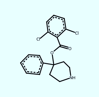 O=C(OC1(c2ccccc2)CCNCC1)c1c(Cl)cccc1Cl